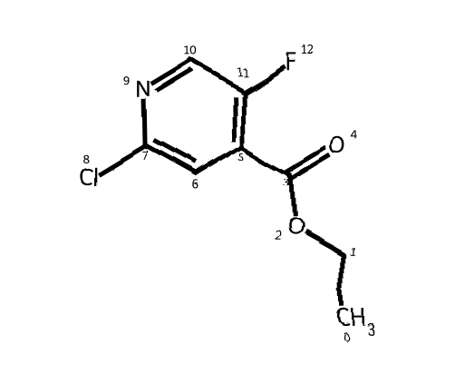 CCOC(=O)c1cc(Cl)ncc1F